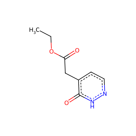 CCOC(=O)Cc1ccn[nH]c1=O